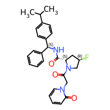 CC(C)c1ccc([C@@H](NC(=O)[C@@H]2C[C@@H](F)CN2C(=O)Cn2ccccc2=O)c2ccccc2)cc1